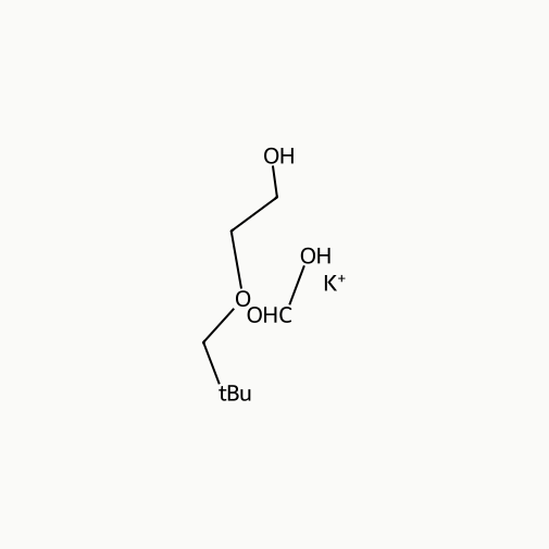 CC(C)(C)COCCO.O=[C-]O.[K+]